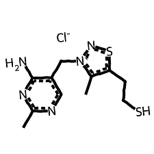 Cc1ncc(C[n+]2nsc(CCS)c2C)c(N)n1.[Cl-]